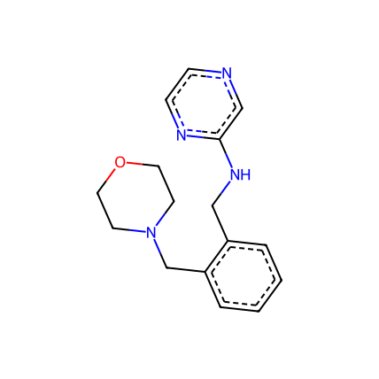 c1ccc(CN2CCOCC2)c(CNc2cnccn2)c1